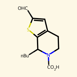 CCCCC1c2sc(C=O)cc2CCN1C(=O)O